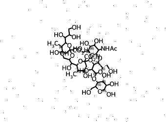 CC(=O)NC1C(O[C@@H]2C(OC3(C(=O)O)C[C@@H](O)[C@@H](C)C(C(O)C(CO)OC4(C(=O)O)C[C@@H](O)[C@@H](C)C(C(O)C(O)CO)O4)O3)C(O)[C@H](O[C@@H]3C(CO)O[C@@H](O)C(O)[C@H]3O)O[C@H]2CO)O[C@@H](CO)[C@H](O)C1O